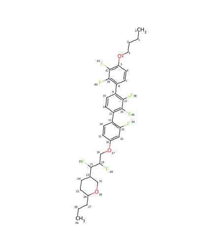 CCCCOc1ccc(-c2ccc(-c3ccc(OCC(F)C(F)C4CCC(CCC)OC4)cc3F)c(F)c2F)c(F)c1F